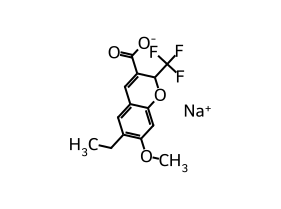 CCc1cc2c(cc1OC)OC(C(F)(F)F)C(C(=O)[O-])=C2.[Na+]